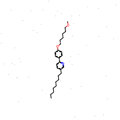 CCCCCCCCCc1ccc(-c2ccc(OCCCCCCOC)cc2)nc1